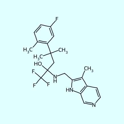 Cc1ccc(F)cc1C(C)(C)CC(O)(NCc1[nH]c2cnccc2c1C)C(F)(F)F